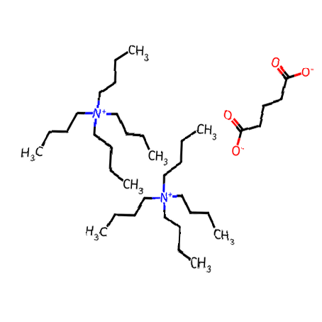 CCCC[N+](CCCC)(CCCC)CCCC.CCCC[N+](CCCC)(CCCC)CCCC.O=C([O-])CCCC(=O)[O-]